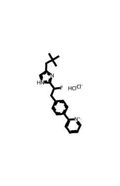 CC(C)(C)Cc1c[nH]c(C(F)Cc2ccc(C3=CC=CC=[N+]3)cc2)n1.Cl.[Cl-]